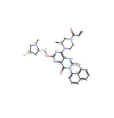 C=CC(=O)N1CCN(c2nc(OC[C@@H]3C[C@@H](F)CN3C)nc3c(=O)n(-c4cccc5cccc(Cl)c45)c(C(F)(F)F)nc23)[C@@H](C)C1